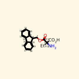 CC[C@](N)(C(=O)O)C(=O)OCC1c2ccccc2-c2ccccc21